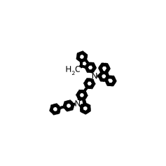 C=C1c2ccccc2-c2ccc(N(c3ccc(-c4ccc5c(c4)c4ccccc4n5-c4ccc(-c5ccccc5)cc4)cc3)c3cc4ccccc4c4ccccc34)cc21